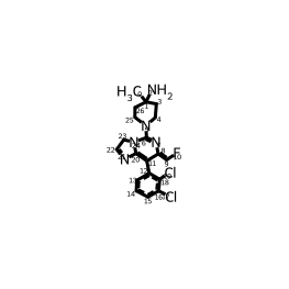 CC1(N)CCN(C2=NC(=CF)C(c3cccc(Cl)c3Cl)=C3N=CCN23)CC1